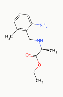 CCOC(=O)[C@H](C)NCc1c(C)cccc1N